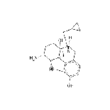 N[C@@H]1CCC2(O)[C@H]3Cc4ccc(O)c5c4[C@@]2(CCN3CC2CC2)[C@H]1O5